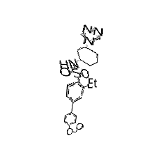 CCc1cc(-c2ccc3c(c2)OCO3)ccc1S(=O)(=O)N[C@H]1CCC[C@@H](n2cnnc2)C1